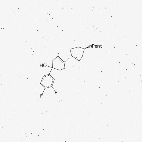 CCCCC[C@H]1CC[C@H](C2=CCC(O)(c3ccc(F)c(F)c3)CC2)CC1